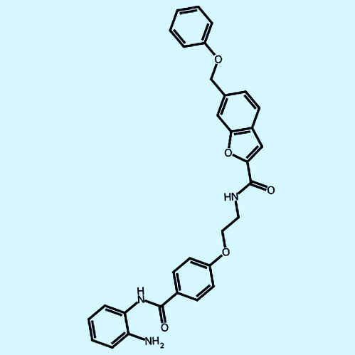 Nc1ccccc1NC(=O)c1ccc(OCCNC(=O)c2cc3ccc(COc4ccccc4)cc3o2)cc1